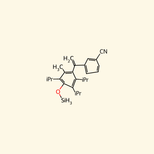 C=C(c1cccc(C#N)c1)c1c(C)c(C(C)C)c(O[SiH3])c(C(C)C)c1C(C)C